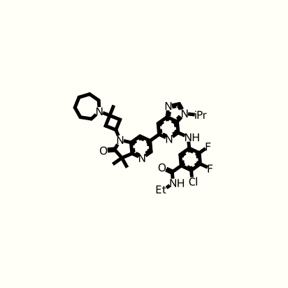 CCNC(=O)c1cc(Nc2nc(-c3cnc4c(c3)N(C3CC(C)(N5CCCCCC5)C3)C(=O)C4(C)C)cc3ncn(C(C)C)c23)c(F)c(F)c1Cl